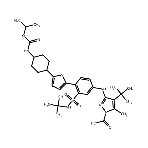 Cc1c(C(C)(C)C)c(Nc2ccc(-c3cnc(C4CCC(NC(=O)OC(C)C)CC4)s3)c(S(=O)(=O)NC(C)(C)C)c2)nn1C(=O)O